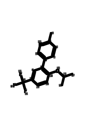 Cc1ccc(-c2cc(C(F)(F)F)ccc2OC(C)C)cn1